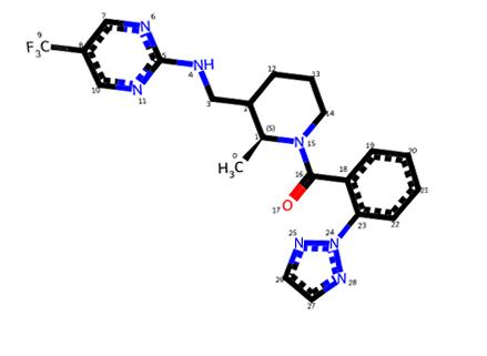 C[C@H]1C(CNc2ncc(C(F)(F)F)cn2)CCCN1C(=O)c1ccccc1-n1nccn1